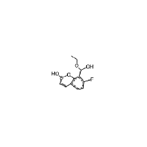 CCOC(O)c1c(F)ccc2c1OB(O)C=C2